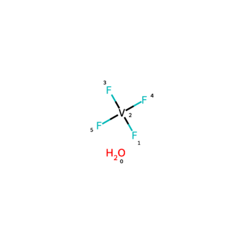 O.[F][V]([F])([F])[F]